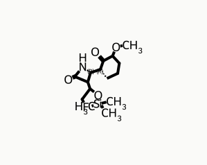 COC1CCC[C@H]([C@H]2NC(=O)C2C(CF)O[Si](C)(C)C)C1=O